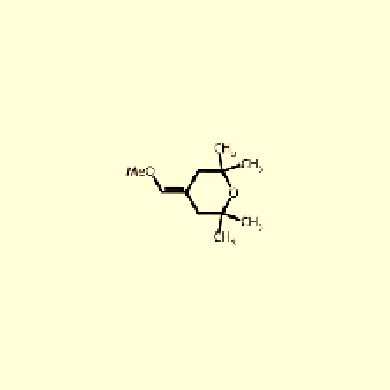 COC=C1CC(C)(C)OC(C)(C)C1